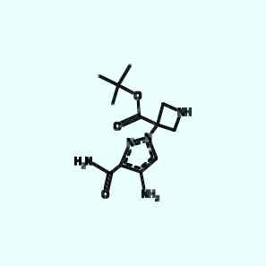 CC(C)(C)OC(=O)C1(n2cc(N)c(C(N)=O)n2)CNC1